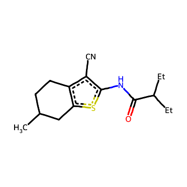 CCC(CC)C(=O)Nc1sc2c(c1C#N)CCC(C)C2